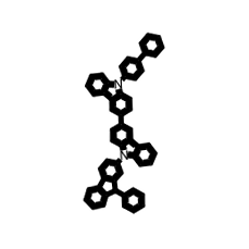 c1ccc(-c2ccc(-n3c4ccccc4c4cc(-c5ccc6c(c5)c5ccccc5n6-c5ccc6c(c5)C(c5ccccc5)c5ccccc5-6)ccc43)cc2)cc1